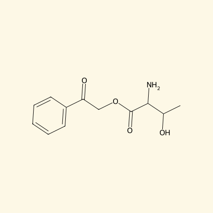 CC(O)C(N)C(=O)OCC(=O)c1ccccc1